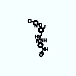 Fc1cc(CNc2nc3ccc(NC4COC4)cc3[nH]2)ccc1Oc1ccc(Cl)cn1